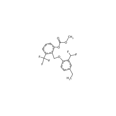 CCc1ccc(OCc2c(OC(=O)OC)cccc2C(F)(F)F)c(C(F)F)c1